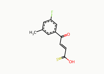 Cc1cc(F)cc(C(=O)/C=C/C(O)=S)c1